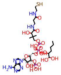 CC(C)(COP(=O)(O)OP(=O)(O)OC[C@H]1O[C@@H](n2cnc3c(N)ncnc32)[C@H](O)[C@@H]1OP(=O)(O)O)C(O)C(=O)NCCC(=O)NCCS.CCCCC(O)C(O)O